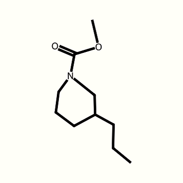 CCCC1CCCN(C(=O)OC)C1